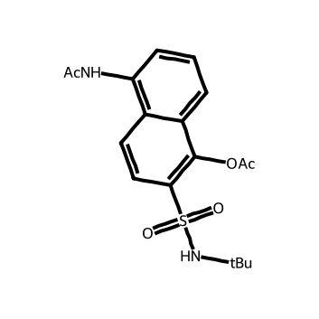 CC(=O)Nc1cccc2c(OC(C)=O)c(S(=O)(=O)NC(C)(C)C)ccc12